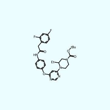 CCC1CN(C(=O)OC(C)(C)C)CCN1c1cc(Oc2ccc(NC(=O)Cc3ccc(F)cc3F)cc2)ncn1